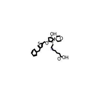 O=C(O)CCC/C=C\C[C@H]1[C@H](N2CCOCC2)[C@@H](O)C[C@H]1OCc1cc(Cc2ccccc2)cs1